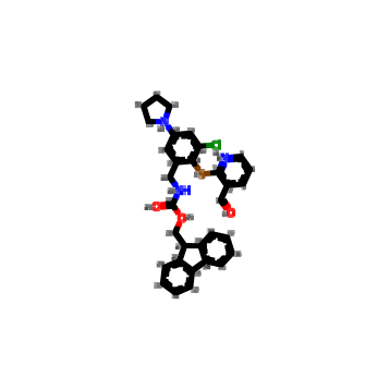 O=Cc1cccnc1Sc1c(Cl)cc(N2CCCC2)cc1CNC(=O)OCC1c2ccccc2-c2ccccc21